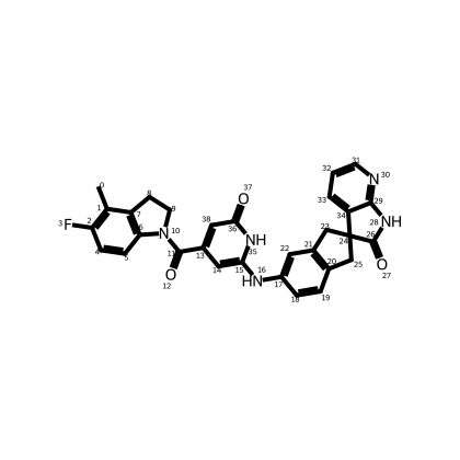 Cc1c(F)ccc2c1CCN2C(=O)c1cc(Nc2ccc3c(c2)CC2(C3)C(=O)Nc3ncccc32)[nH]c(=O)c1